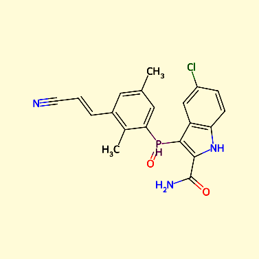 Cc1cc(/C=C/C#N)c(C)c([PH](=O)c2c(C(N)=O)[nH]c3ccc(Cl)cc23)c1